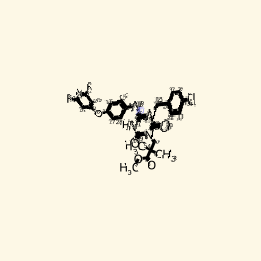 COC(=O)C(C)(C)Cn1c(=O)[nH]/c(=N\c2ccc(Oc3cc(F)nc(F)c3)cc2)n(Cc2ccc(Cl)cc2)c1=O